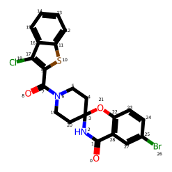 O=C1NC2(CCN(C(=O)c3sc4ccccc4c3Cl)CC2)Oc2ccc(Br)cc21